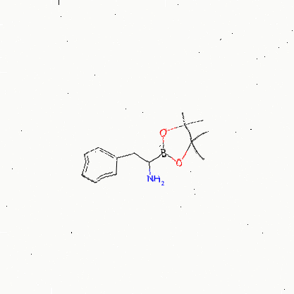 CC1(C)OB(C(N)Cc2ccccc2)OC1(C)C